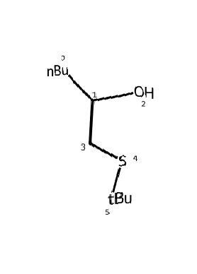 CCCCC(O)CSC(C)(C)C